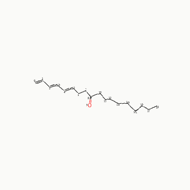 C=CC=CC=CCCC(=O)CCCCCCCCC